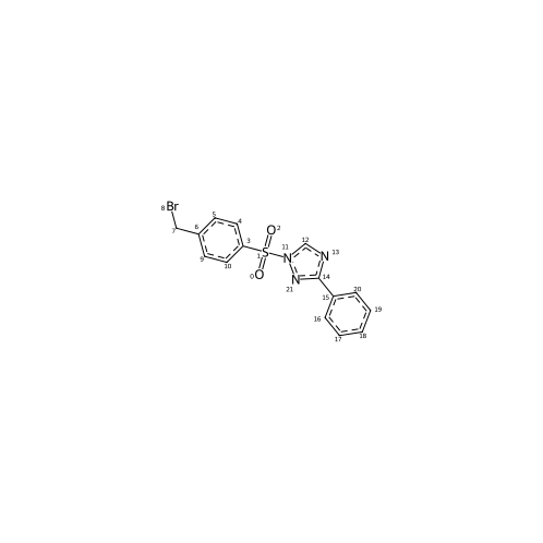 O=S(=O)(c1ccc(CBr)cc1)n1cnc(-c2ccccc2)n1